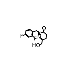 O=C1CCC(CO)=NN1Cc1ccc(F)cc1F